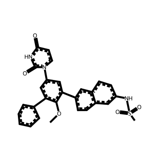 COc1c(-c2ccccc2)cc(-n2ccc(=O)[nH]c2=O)cc1-c1ccc2cc(NS(C)(=O)=O)ccc2c1